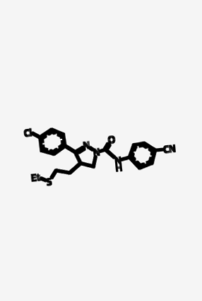 CCSCCC1CN(C(=O)Nc2ccc(C#N)cc2)N=C1c1ccc(Cl)cc1